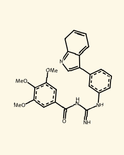 COc1cc(C(=O)NC(=N)Nc2cccc(C3=CN=C4CC=CC=C34)c2)cc(OC)c1OC